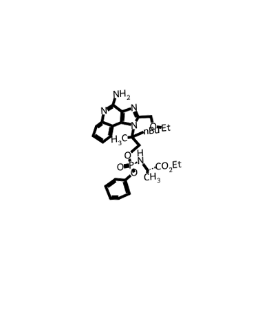 CCCCC(C)(CO[P@@](=O)(N[C@@H](C)C(=O)OCC)Oc1ccccc1)n1c(COCC)nc2c(N)nc3ccccc3c21